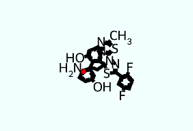 Cc1nnc(N2N=C(c3cc(F)ccc3F)SC2(CCCN)c2cccc(O)c2-c2cccc(O)c2)s1